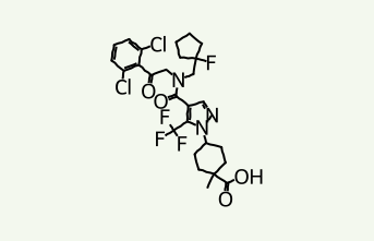 CC1(C(=O)O)CCC(n2ncc(C(=O)N(CC(=O)c3c(Cl)cccc3Cl)CC3(F)CCCC3)c2C(F)(F)F)CC1